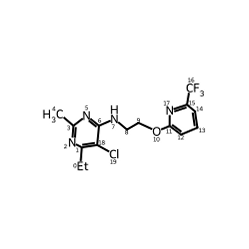 CCc1nc(C)nc(NCCOc2cccc(C(F)(F)F)n2)c1Cl